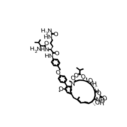 COc1cc2cc(c1-c1ccc(OCc3ccc(NC(=O)[C@H](CCCNC(N)=O)NC(=O)C(N)C(C)C)cc3)cc1)N(C)C(=O)C[C@H](OC(=O)C(C)C)[C@]1(C)O[C@H]1[C@H](C)[C@@H]1C[C@@](O)(NC(=O)O1)[C@H](C)/C=C/C=C(\C)C2